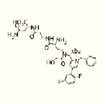 CC(C)(C)[C@H](c1cc(-c2cc(F)ccc2F)cn1Cc1ccccc1)N(CC[C@H](N)C(=O)NCCC(=O)N[C@@H](CC(N)=O)C(=O)O)C(=O)CO